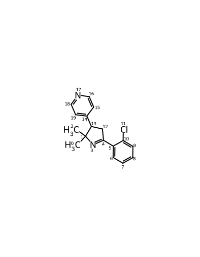 CC1(C)N=C(c2ccccc2Cl)CC1c1ccncc1